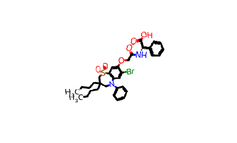 CCCCC1(CCCC)CN(c2ccccc2)c2cc(Br)c(OCC(=O)N[C@H](C(=O)O)c3ccccc3)cc2S(=O)(=O)C1